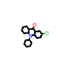 O=c1c2ccccc2n(-c2ccccc2)c2ccc(Cl)cc12